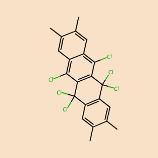 Cc1cc2c(cc1C)C(Cl)(Cl)c1c(c(Cl)c3cc(C)c(C)cc3c1Cl)C2(Cl)Cl